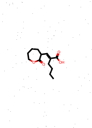 CCCCC(=CC1CCCCOC1=O)C(=O)O